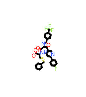 O=C(NC(CSCc1ccccc1)C(=O)O)c1nc(-c2ccc(C(F)(F)F)cc2)oc1-c1ccc(-c2ccc(F)cc2)nc1